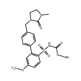 CCCCOC(=O)NS(=O)(=O)c1ccc(OC(F)(F)F)cc1-c1ccc(CN2CCN(C)C2=O)cn1